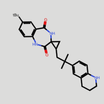 CC(C)(C)c1ccc2c(c1)C(=O)NC1(CC1CC(C)(C)c1ccc3c(c1)CCCN3)C(=O)N2